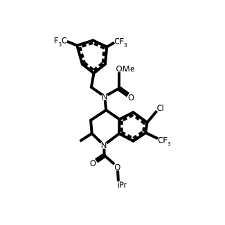 COC(=O)N(Cc1cc(C(F)(F)F)cc(C(F)(F)F)c1)C1CC(C)N(C(=O)OC(C)C)c2cc(C(F)(F)F)c(Cl)cc21